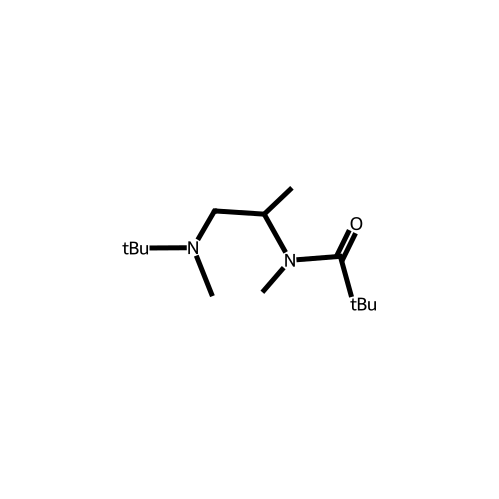 CC(CN(C)C(C)(C)C)N(C)C(=O)C(C)(C)C